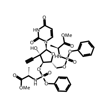 C#C[C@]1(O)[C@H](OP(=O)(N[C@@H](C)C(=O)OC)Oc2ccccc2)[C@@H](COP(=O)(N[C@@H](C)C(=O)OC)Oc2ccccc2)O[C@@H]1n1ccc(=O)[nH]c1=O